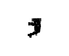 CC(C)=CCC[C@@H](C)[C@H]1CC[C@@]2(C)C3=C(CC[C@]12C)[C@@]1(C)C(CO)CC(O)(O)C(C)(C)C1CC3